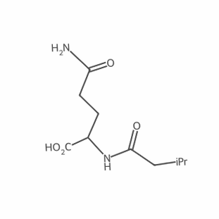 CC(C)CC(=O)NC(CCC(N)=O)C(=O)O